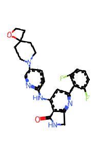 O=C1NCc2nc(-c3c(F)cccc3F)cc(Nc3ccc(N4CCC5(CCO5)CC4)cn3)c21